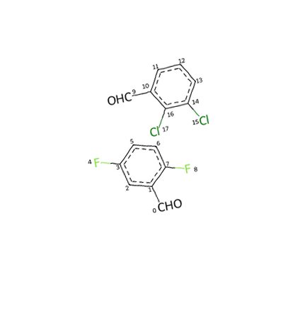 O=Cc1cc(F)ccc1F.O=Cc1cccc(Cl)c1Cl